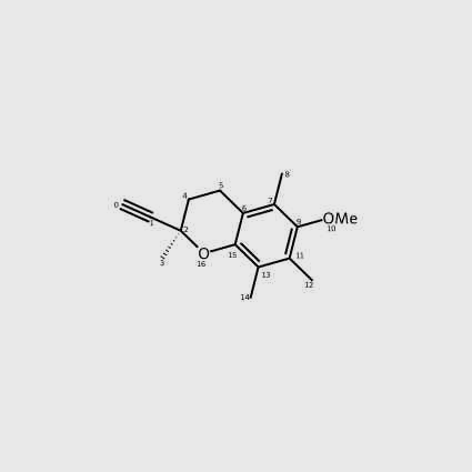 C#C[C@@]1(C)CCc2c(C)c(OC)c(C)c(C)c2O1